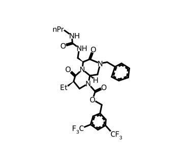 CCCNC(=O)NC[C@H]1C(=O)N(Cc2ccccc2)C[C@@H]2N(C(=O)OCc3cc(C(F)(F)F)cc(C(F)(F)F)c3)C[C@@H](CC)C(=O)N21